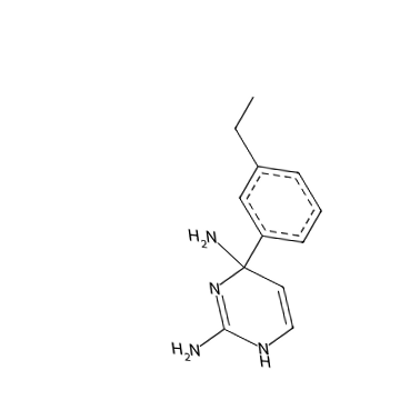 CCc1cccc(C2(N)C=CNC(N)=N2)c1